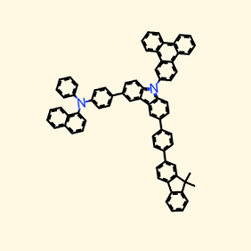 CC1(C)c2ccccc2-c2ccc(-c3ccc(-c4ccc5c(c4)c4cc(-c6ccc(N(c7ccccc7)c7cccc8ccccc78)cc6)ccc4n5-c4ccc5c6ccccc6c6ccccc6c5c4)cc3)cc21